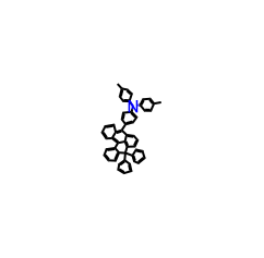 Cc1ccc(N(c2ccc(C)cc2)c2ccc(-c3c4ccccc4c4c5c(cccc35)C(c3ccccc3)(c3ccccc3)c3ccccc3-4)cc2)cc1